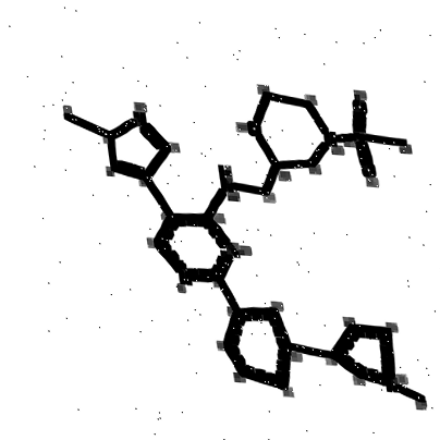 CC1C=C(c2cnc(-c3cccc(-c4ccn(C)c4)c3)nc2NCC2CN(S(C)(=O)=O)CCO2)C=N1